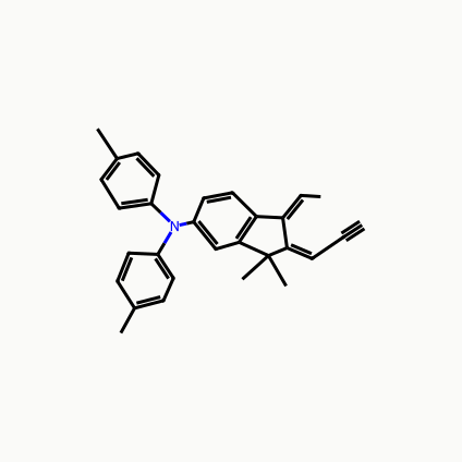 C#C/C=C1\C(=C/C)c2ccc(N(c3ccc(C)cc3)c3ccc(C)cc3)cc2C1(C)C